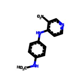 O=C(O)Nc1ccc(Nc2ccncc2[N+](=O)[O-])cc1